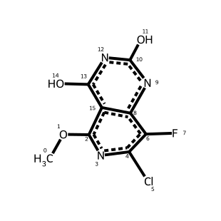 COc1nc(Cl)c(F)c2nc(O)nc(O)c12